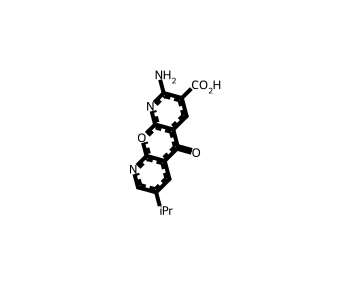 CC(C)c1cnc2oc3nc(N)c(C(=O)O)cc3c(=O)c2c1